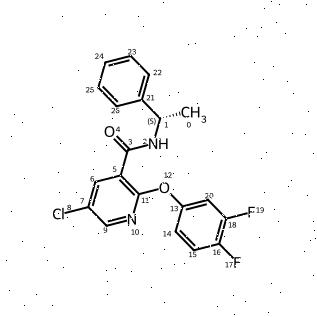 C[C@H](NC(=O)c1cc(Cl)cnc1Oc1ccc(F)c(F)c1)c1ccccc1